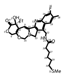 CC[C@@]1(O)C(=O)OCC2=C1C=C1c3nc4cc(F)c(C)cc4c(CNC(=O)CCCCCSC)c3CN1CO2